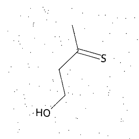 CC(=S)CCO